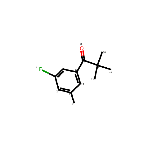 Cc1cc(F)cc(C(=O)C(C)(C)C)c1